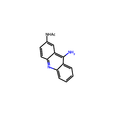 CC(=O)Nc1ccc2nc3ccccc3c(N)c2c1